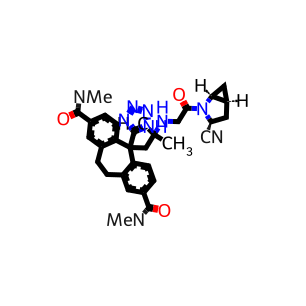 CNC(=O)c1ccc2c(c1)CCc1cc(C(=O)NC)ccc1C2(CC(C)(C)NCC(=O)N1[C@H](C#N)C[C@@H]2C[C@@H]21)c1nnn[nH]1